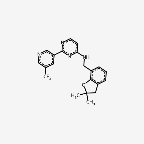 CC1(C)Cc2cccc(CNc3ccnc(-c4cncc(C(F)(F)F)c4)n3)c2O1